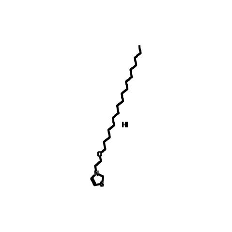 CCCCCCCCCCCCCCCCCCOCCN1C=CSC1.I